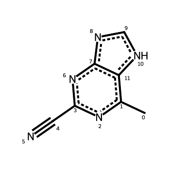 Cc1nc(C#N)nc2nc[nH]c12